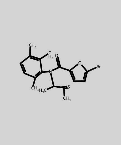 CC(=S)C(C)N(C(=O)c1ccc(Br)o1)c1c(C)ccc(C)c1C